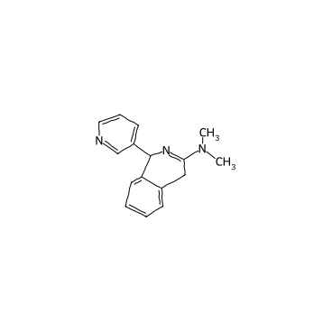 CN(C)C1=NC(c2cccnc2)c2ccccc2C1